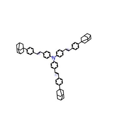 C(=C\c1ccc(C23CC4CC(CC(C4)C2)C3)cc1)/c1ccc(N(c2ccc(/C=C/c3ccc(C45CC6CC(CC(C6)C4)C5)cc3)cc2)c2ccc(/C=C/c3ccc(C45CC6CC(CC(C6)C4)C5)cc3)cc2)cc1